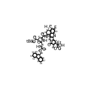 CC[C@@]1(O)C(=O)OCc2c1cc1n(c2=O)Cc2c-1nc1cc(F)c(C)c3c1c2[C@@H](NC(=O)[C@H](CCC(=O)OC(C)(C)C)NC(=O)CNC(=O)OCC1c2ccccc2-c2ccccc21)CC3